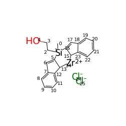 C[Si]1(CCO)C2=Cc3ccccc3[CH]2[Zr+2][CH]2C1=Cc1ccccc12.[Cl-].[Cl-]